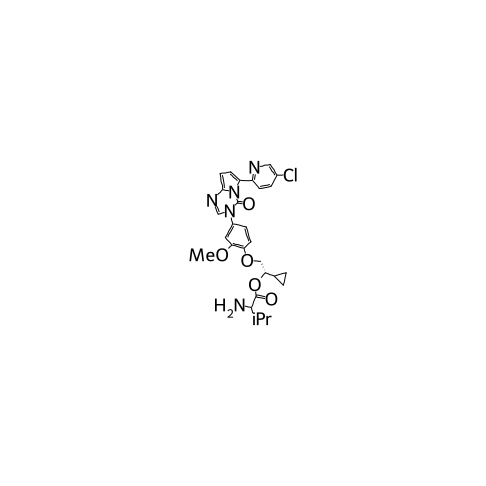 COc1cc(-n2cnc3ccc(-c4ccc(Cl)cn4)n3c2=O)ccc1OC[C@@H](OC(=O)C(N)C(C)C)C1CC1